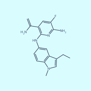 C=C(N)c1cc(F)c(N)nc1Nc1ccc2c(c1)c(CC)cn2C